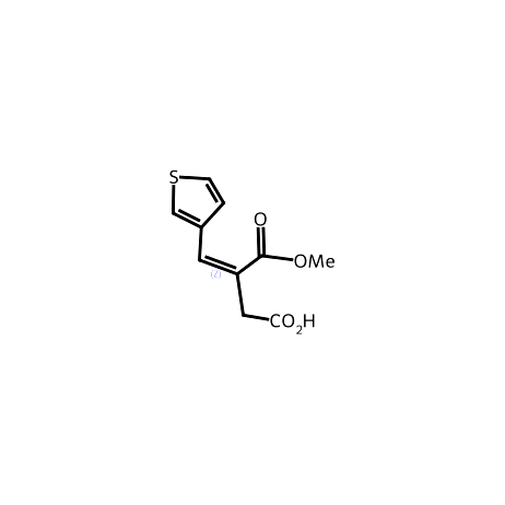 COC(=O)/C(=C\c1ccsc1)CC(=O)O